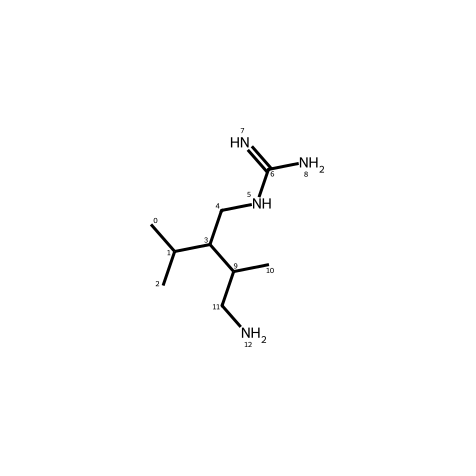 CC(C)C(CNC(=N)N)C(C)CN